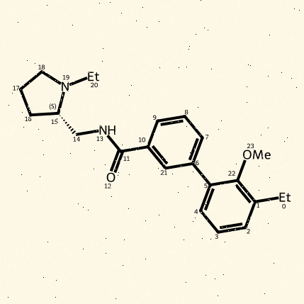 CCc1cccc(-c2cccc(C(=O)NC[C@@H]3CCCN3CC)c2)c1OC